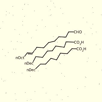 CCCCCCCCC=CCCCCCCCC=O.CCCCCCCCCCCCCCCCCC(=O)O.CCCCCCCCCCCCCCCCCC(=O)O